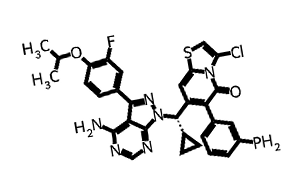 CC(C)Oc1ccc(-c2nn([C@H](c3cc4scc(Cl)n4c(=O)c3-c3cccc(P)c3)C3CC3)c3ncnc(N)c23)cc1F